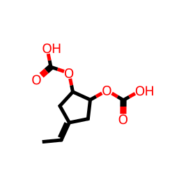 CC=C1CC(OC(=O)O)C(OC(=O)O)C1